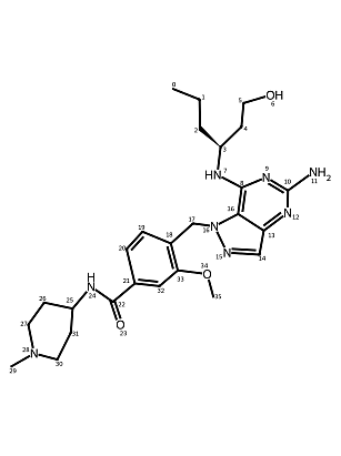 CCC[C@@H](CCO)Nc1nc(N)nc2cnn(Cc3ccc(C(=O)NC4CCN(C)CC4)cc3OC)c12